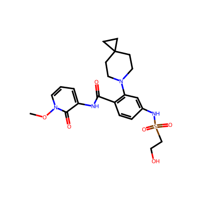 COn1cccc(NC(=O)c2ccc(NS(=O)(=O)CCO)cc2N2CCC3(CC2)CC3)c1=O